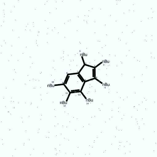 CCCC[C]1C(CCCC)=C(CCCC)c2c1cc(CCCC)c(CCCC)c2CCCC